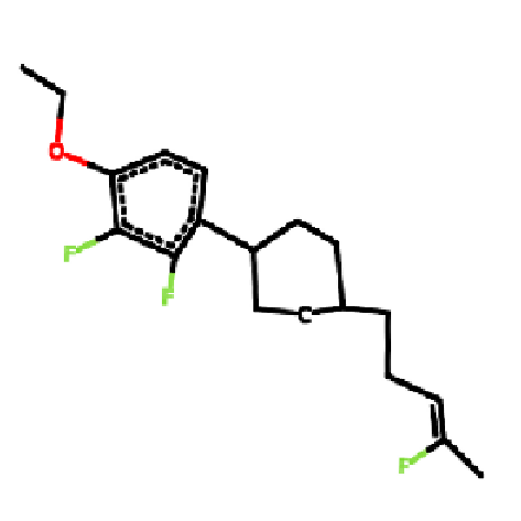 CCOc1ccc(C2CCC(CCC=C(C)F)CC2)c(F)c1F